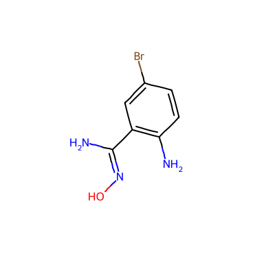 N/C(=N\O)c1cc(Br)ccc1N